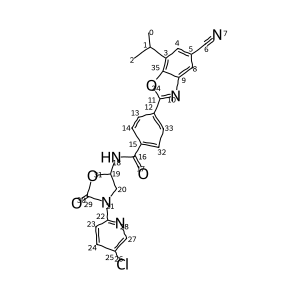 CC(C)c1cc(C#N)cc2nc(-c3ccc(C(=O)NC4CN(c5ccc(Cl)cn5)C(=O)O4)cc3)oc12